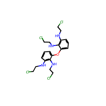 ClCCNc1cccc(Oc2cccc(NCCCl)c2NCCCl)c1NCCCl